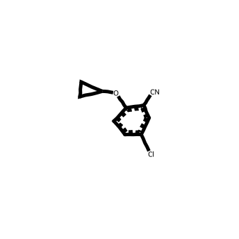 N#Cc1cc(Cl)ccc1OC1CC1